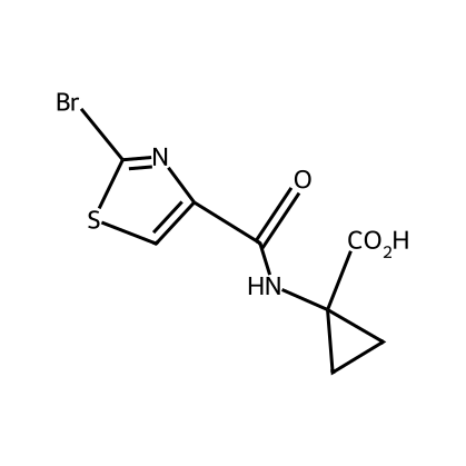 O=C(NC1(C(=O)O)CC1)c1csc(Br)n1